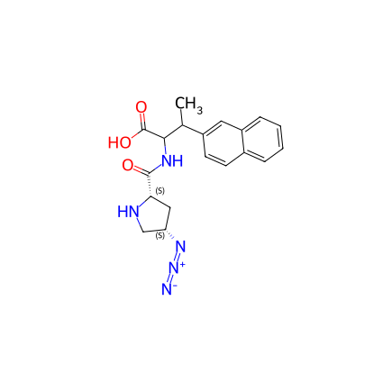 CC(c1ccc2ccccc2c1)C(NC(=O)[C@@H]1C[C@H](N=[N+]=[N-])CN1)C(=O)O